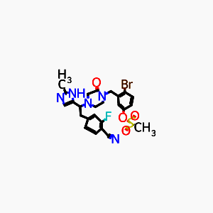 Cc1ncc(C(Cc2ccc(C#N)c(F)c2)N2CCN(Cc3cc(OS(C)(=O)=O)ccc3Br)C(=O)C2)[nH]1